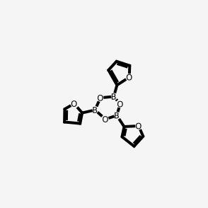 c1coc(B2OB(c3ccco3)OB(c3ccco3)O2)c1